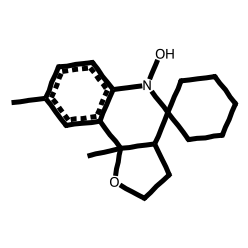 Cc1ccc2c(c1)C1(C)OCCC1C1(CCCCC1)N2O